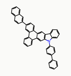 c1ccc(-c2ccc(-n3c4ccccc4c4cc5c6ccc(-c7ccc8ccccc8c7)cc6c6ccccc6c5cc43)cc2)cc1